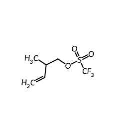 C=CC(C)COS(=O)(=O)C(F)(F)F